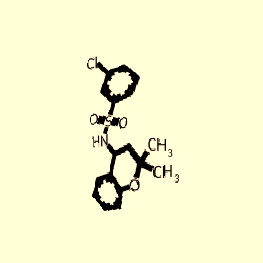 CC1(C)CC(NS(=O)(=O)c2cccc(Cl)c2)c2ccccc2O1